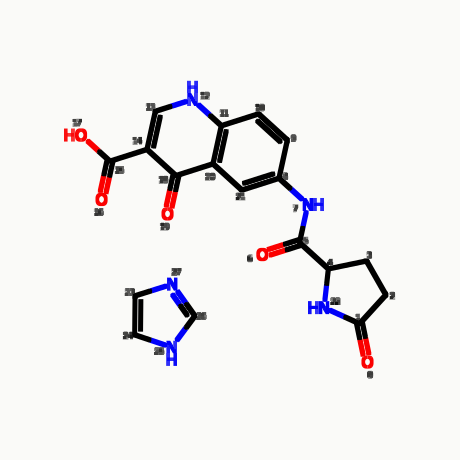 O=C1CCC(C(=O)Nc2ccc3[nH]cc(C(=O)O)c(=O)c3c2)N1.c1c[nH]cn1